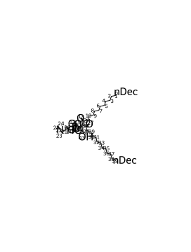 CCCCCCCCCCCCCCCCCCCCCC(=O)C(OP(=O)([O-])OCC[N+](C)(C)C)(C(=O)CCCCCCCCCCCCCCCCCCCCC)[C@@H](O)CO